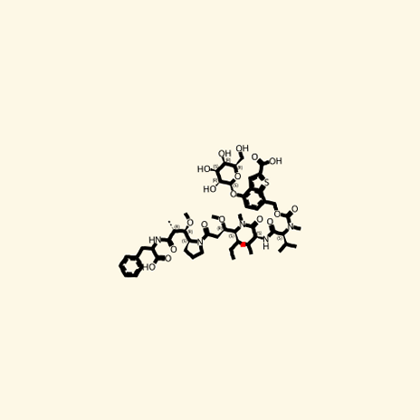 CCC(C)[C@@H]([C@@H](CC(=O)N1CCC[C@H]1[C@H](OC)[C@@H](C)C(=O)NC(Cc1ccccc1)C(=O)O)OC)N(C)C(=O)[C@@H](NC(=O)[C@H](C(C)C)N(C)C(=O)OCc1ccc(O[C@@H]2O[C@H](CO)[C@H](O)[C@H](O)[C@H]2O)c2cc(C(=O)O)sc12)C(C)C